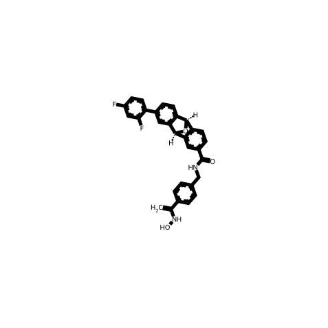 C=C(NO)c1ccc(CNC(=O)c2ccc3c(c2)[C@@H]2O[C@H]3c3ccc(-c4ccc(F)cc4F)cc32)cc1